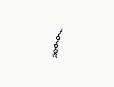 CCCCCC1CCC(CCc2ccc(C3CCC(C#N)(CCC)CC3)cc2)CC1